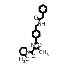 Cc1oc(-c2ccc(CNC(=O)Cc3ccccc3)cc2)nc1C(=O)N1CCCCC1C